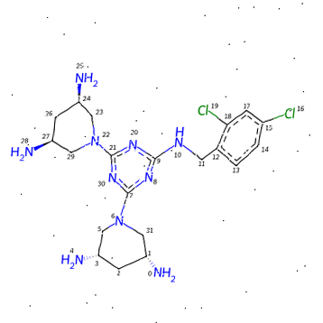 N[C@@H]1C[C@H](N)CN(c2nc(NCc3ccc(Cl)cc3Cl)nc(N3C[C@H](N)C[C@H](N)C3)n2)C1